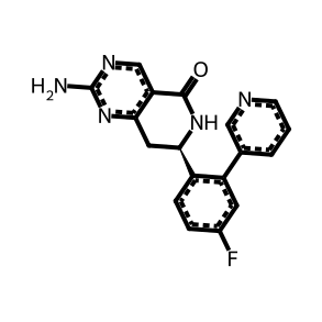 Nc1ncc2c(n1)C[C@H](c1ccc(F)cc1-c1cccnc1)NC2=O